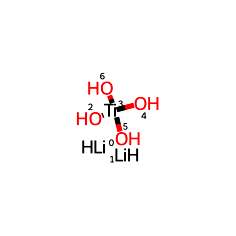 [LiH].[LiH].[OH][Ti]([OH])([OH])[OH]